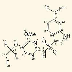 COc1nc(NS(=O)(=O)c2c[nH]c3nc(C(F)F)ccc23)ncc1OC(F)(F)CF